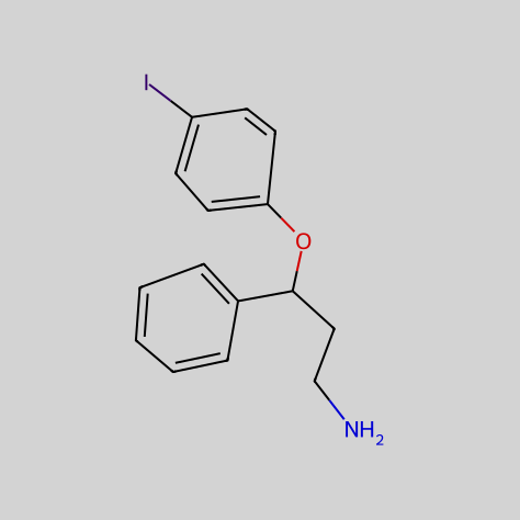 NCCC(Oc1ccc(I)cc1)c1ccccc1